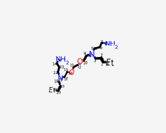 CCC=CCN(CCCN)CCOCCOCCN(C/C=C\CC)CCCN